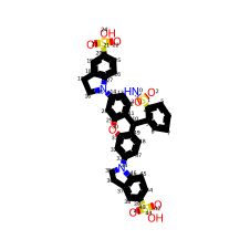 [NH]S(=O)(=O)c1ccccc1C1c2ccc(N3CCc4cc(S(=O)(=O)O)ccc43)cc2Oc2cc(N3CCc4cc(S(=O)(=O)O)ccc43)ccc21